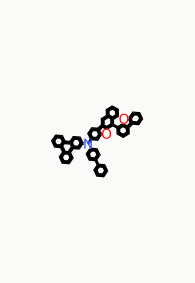 c1ccc(-c2ccc(N(c3ccc4c(c3)oc3c(-c5cccc6c5oc5ccccc56)c5ccccc5cc34)c3ccc4c5ccccc5c5ccccc5c4c3)cc2)cc1